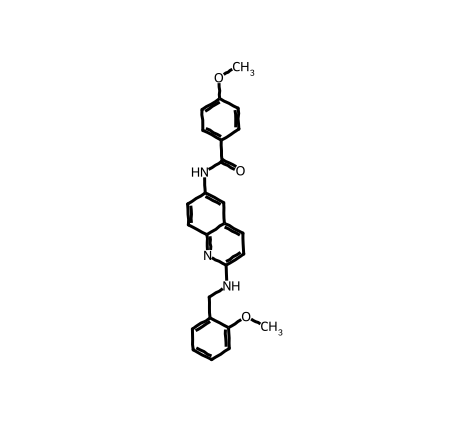 COc1ccc(C(=O)Nc2ccc3nc(NCc4ccccc4OC)ccc3c2)cc1